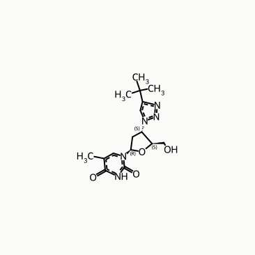 Cc1cn([C@H]2C[C@H](n3cc(C(C)(C)C)nn3)[C@@H](CO)O2)c(=O)[nH]c1=O